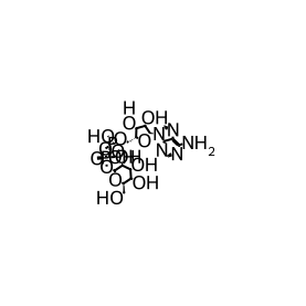 Nc1ncnc2c1ncn2[C@@H]1O[C@H](COP(=O)(O)OP(=O)(O)OC2O[C@H](CO)[C@H](O)[C@H](O)[C@H]2O)[C@@H](O)[C@H]1O